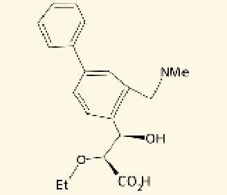 CCO[C@H](C(=O)O)[C@H](O)c1ccc(-c2ccccc2)cc1CNC